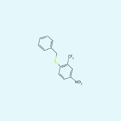 O=[N+]([O-])c1ccc(SCc2ccccc2)c(C(F)(F)F)c1